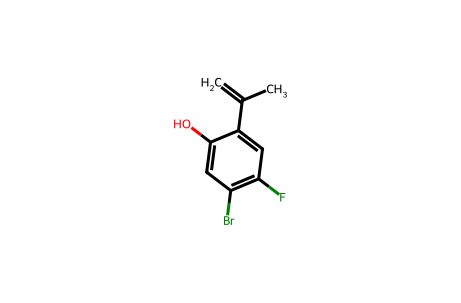 C=C(C)c1cc(F)c(Br)cc1O